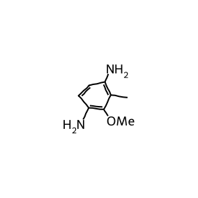 COc1c(N)ccc(N)c1C